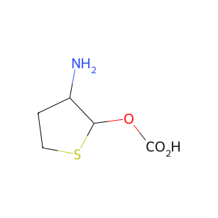 NC1CCSC1OC(=O)O